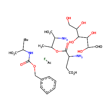 CC(=O)F.CC(OC(=O)C(N)CC(=O)O)C(N)C(=O)O.CCC(C)C(NC(=O)OCc1ccccc1)C(=O)O.O=CC(O)C(O)C(O)C(O)CO